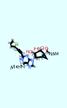 CNC(=O)[C@]12CC1[C@@H](n1cnc3c(NC)nc(C#Cc4cccs4)nc31)C(O)[C@@H]2O